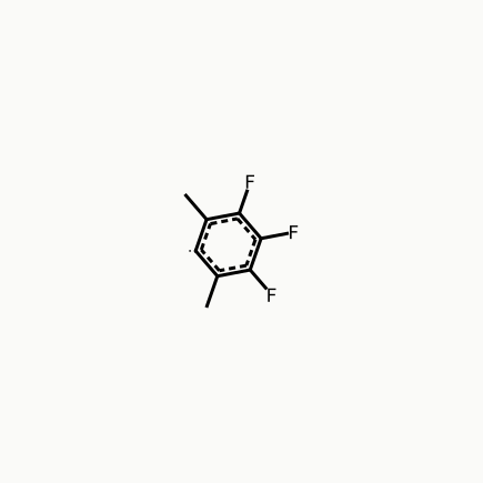 Cc1[c]c(C)c(F)c(F)c1F